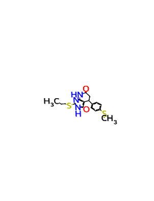 CCCSc1nc2c(c(=O)[nH]1)C(c1ccc(SC)cc1)CC(=O)N2